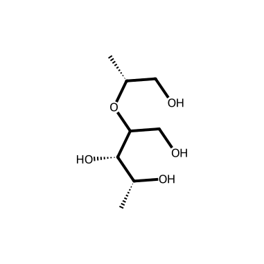 C[C@H](CO)OC(CO)[C@@H](O)[C@@H](C)O